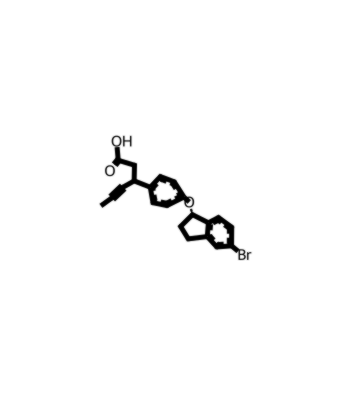 CC#CC(CC(=O)O)c1ccc(O[C@H]2CCc3cc(Br)ccc32)cc1